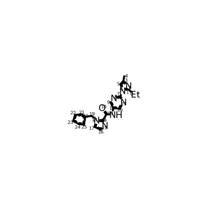 CCc1nc(C)cn1-c1ncc(NC(=O)c2nccn2Cc2ccccc2)cn1